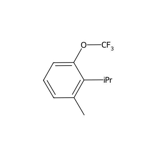 Cc1cccc(OC(F)(F)F)c1C(C)C